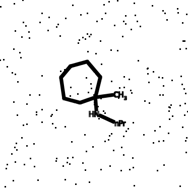 CCCNC1(C)CCCCCC1